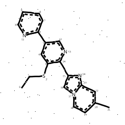 CCSc1cc(-c2ccccn2)cnc1-c1cn2ccc(C)cc2n1